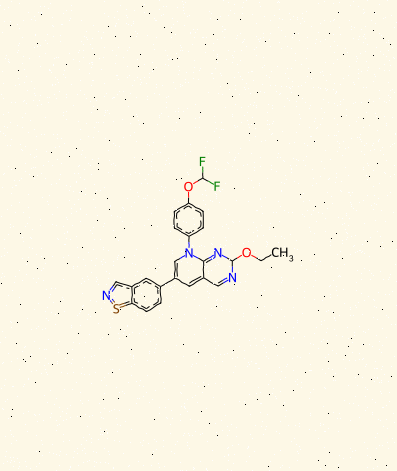 CCOC1N=CC2=CC(c3ccc4sncc4c3)=CN(c3ccc(OC(F)F)cc3)C2=N1